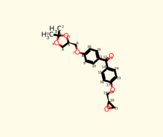 CC1(C)OC[C@H](COc2ccc(C(=O)c3ccc(OC[C@H]4CO4)cc3)cc2)O1